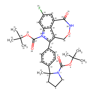 CC(C)(C)OC(=O)N1CCCC1(C)c1ccc(-c2c3c4c(cc(F)cc4n2C(=O)OC(C)(C)C)C(=O)NOC3)cc1